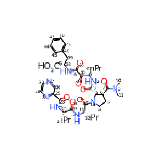 CCCC(NC(=O)[C@@H]1[C@@H](C(=O)N(C)C)CCN1C(=O)[C@@H](NC(=O)[C@@H](NC(=O)c1cnccn1)C(C)C)C(C)C)C(=O)C(=O)N[C@@H](Cc1ccccc1)C(=O)O